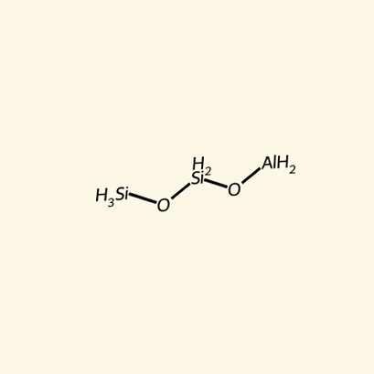 [AlH2][O][SiH2]O[SiH3]